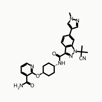 Cn1cc(-c2ccc3c(C(=O)N[C@H]4CC[C@H](Oc5ncccc5C(N)=O)CC4)nn(C(C)(C)C#N)c3c2)cn1